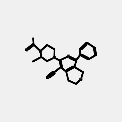 CC(=O)N1CCN(c2nc(-c3ccccc3)c3c(c2C#N)CCOC3)CC1C